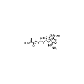 CCCCCCC(=O)C(CCCCCCC(=O)NN)(C(=O)CCCCCC)C(=O)NN